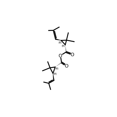 CC(C)=C[C@@H]1[C@@H](C(=O)OC(=O)[C@@H]2[C@@H](C=C(C)C)C2(C)C)C1(C)C